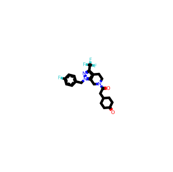 O=C1CCC(CC(=O)N2CCc3c(C(F)(F)F)nn(Cc4ccc(F)cc4)c3C2)CC1